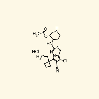 CCC1(c2c(C#N)c(Cl)c3cnc(N[C@@H]4CCNC[C@H]4OC(C)=O)nn23)CCC1.Cl